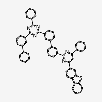 c1ccc(-c2cccc(-c3nc(-c4ccccc4)nc(-c4cccc(-c5cccc(-c6nc(-c7ccccc7)cc(-c7ccc8c(c7)sc7ccccc78)n6)c5)c4)n3)c2)cc1